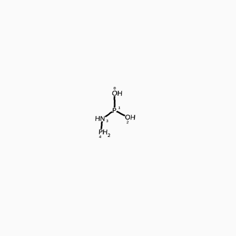 OP(O)NP